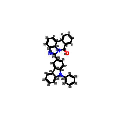 O=c1c2ccccc2c2cccc3nc(-c4ccc5c(c4)c4ccccc4n5-c4ccccc4)n1c32